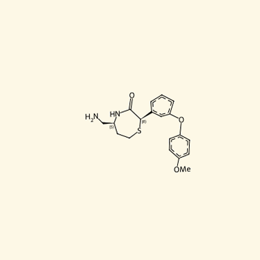 COc1ccc(Oc2cccc([C@H]3SCC[C@@H](CN)NC3=O)c2)cc1